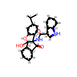 CC(C)c1ccc2c(c1)OC1(O)c3ccccc3C(=O)C21NC(=O)c1c[nH]c2ccccc12